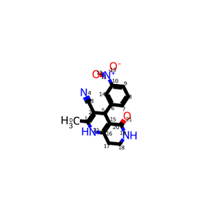 CC1=C(C#N)C(c2cccc([N+](=O)[O-])c2)C2=C(CCNC2=O)N1